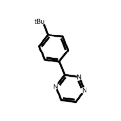 CC(C)(C)c1ccc(-c2nccnn2)cc1